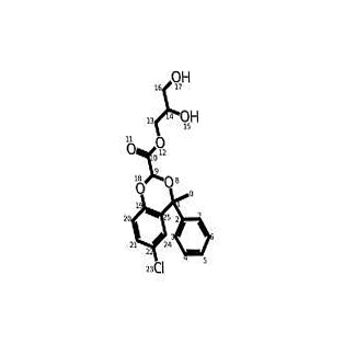 CC1(c2ccccc2)OC(C(=O)OCC(O)CO)Oc2ccc(Cl)cc21